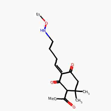 CCONCCCC=C1C(=O)CC(C)(C)C(C(=O)OC)C1=O